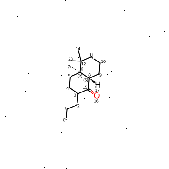 CCCC1CC[C@]2(C)[C@H](CCCC2(C)C)C1=O